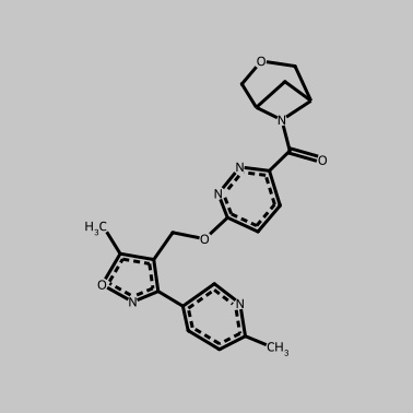 Cc1ccc(-c2noc(C)c2COc2ccc(C(=O)N3C4COCC3C4)nn2)cn1